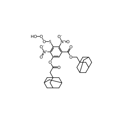 O=C(CC12CC3CC(CC(C3)C1)C2)Oc1cc(C(=O)OCC23CC4CC(CC(C4)C2)C3)c([N+](=O)[O-])c(SOOO)c1[N+](=O)[O-]